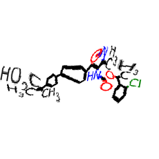 Cc1noc(-c2ccc(-c3ccc(C(C)(C)C(=O)O)cc3)cc2)c1NC(=O)OC(C)c1ccccc1Cl